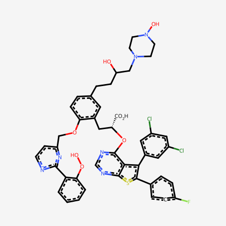 O=C(O)[C@@H](Cc1cc(CCC(O)CN2CCN(O)CC2)ccc1OCc1ccnc(-c2ccccc2OO)n1)Oc1ncnc2sc(-c3ccc(F)cc3)c(-c3cc(Cl)cc(Cl)c3)c12